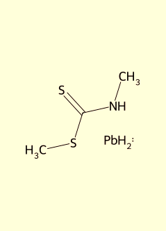 CNC(=S)SC.[PbH2]